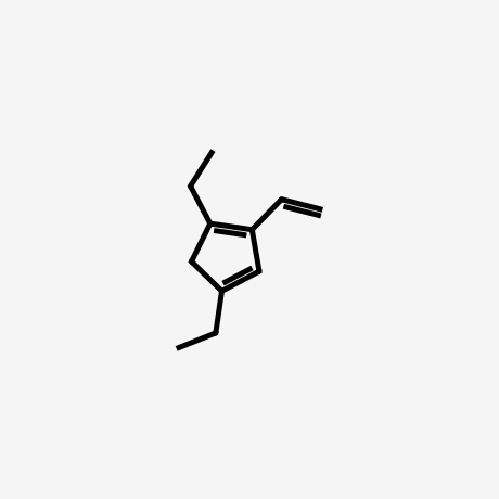 C=CC1=C(CC)CC(CC)=C1